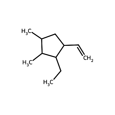 C=CC1CC(C)C(C)C1CC